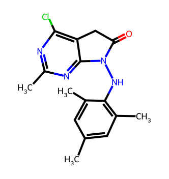 Cc1cc(C)c(NN2C(=O)Cc3c(Cl)nc(C)nc32)c(C)c1